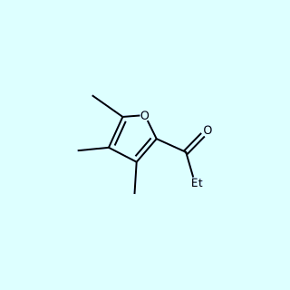 CCC(=O)c1oc(C)c(C)c1C